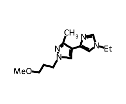 CCn1cnc(-c2cn(CCCOC)nc2C)c1